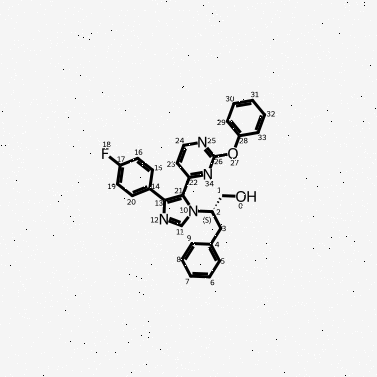 OC[C@H](Cc1ccccc1)n1cnc(-c2ccc(F)cc2)c1-c1ccnc(Oc2ccccc2)n1